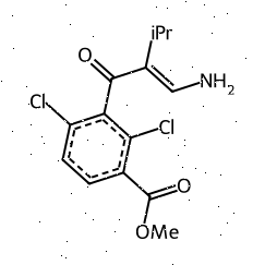 COC(=O)c1ccc(Cl)c(C(=O)C(=CN)C(C)C)c1Cl